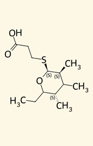 CCC1O[C@@H](SCCC(=O)O)[C@@H](C)C(C)[C@@H]1C